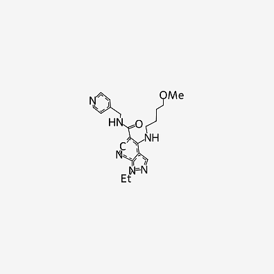 CCn1ncc2c(NCCCCOC)c(C(=O)NCc3ccncc3)cnc21